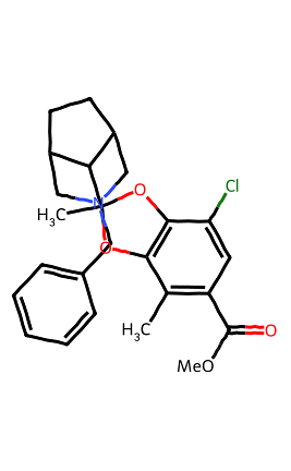 COC(=O)c1cc(Cl)c2c(c1C)OC(C)(C1C3CCC1CN(Cc1ccccc1)C3)O2